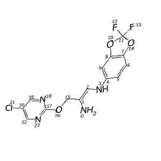 N/C(=C\Nc1ccc2c(c1)OC(F)(F)O2)COc1ncc(Cl)cn1